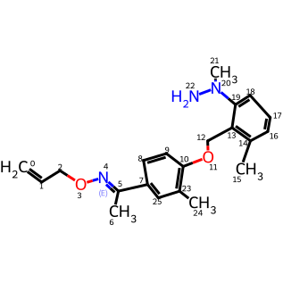 C=CCO/N=C(\C)c1ccc(OCc2c(C)cccc2N(C)N)c(C)c1